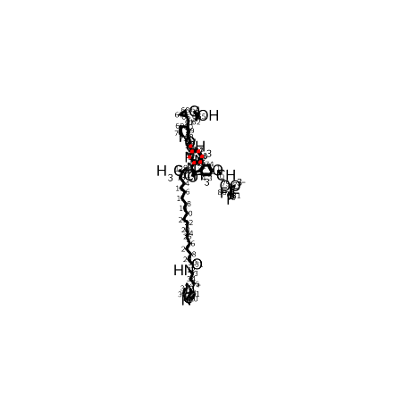 COc1ccc(C(=O)N(CC(C)(C)CCCCCCCCCCCCCCCCCC(=O)NCCC[N+]23CCN(CC2)CC3)c2cccc(C)n2)c(N2CCC(COc3cc([C@@H](CC(=O)O)C4CC4)ccn3)CC2)c1.O=C([O-])C(F)(F)F